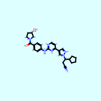 N#CCC(C1CCCC1)n1cc(-c2ccnc(Nc3ccc(C(=O)N4CC[C@@H](O)C4)cc3)n2)cn1